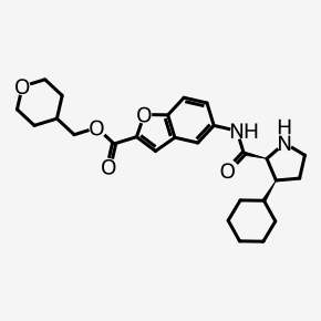 O=C(OCC1CCOCC1)c1cc2cc(NC(=O)[C@H]3NCC[C@H]3C3CCCCC3)ccc2o1